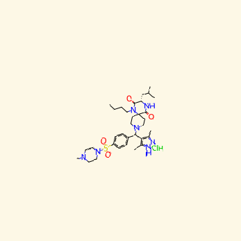 CCCCN1C(=O)[C@H](CC(C)C)NC(=O)C12CCN(C(c1ccc(S(=O)(=O)N3CCN(C)CC3)cc1)c1c(C)n[nH]c1C)CC2.Cl